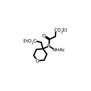 CCOC(=O)CC(=O)N(NC(C)=O)C1(CC(=O)OCC)CCOCC1